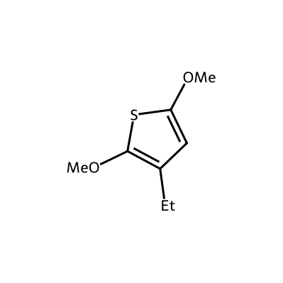 CCc1cc(OC)sc1OC